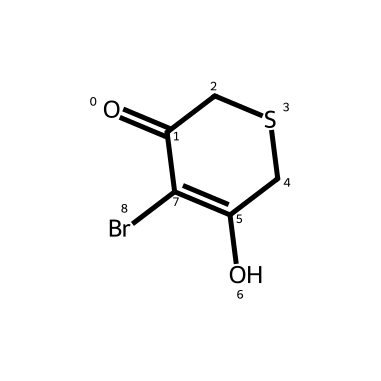 O=C1CSCC(O)=C1Br